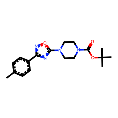 Cc1ccc(-c2noc(N3CCN(C(=O)OC(C)(C)C)CC3)n2)cc1